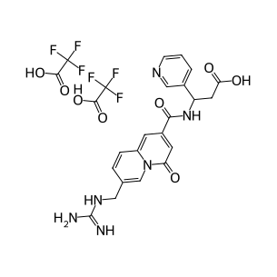 N=C(N)NCc1ccc2cc(C(=O)NC(CC(=O)O)c3cccnc3)cc(=O)n2c1.O=C(O)C(F)(F)F.O=C(O)C(F)(F)F